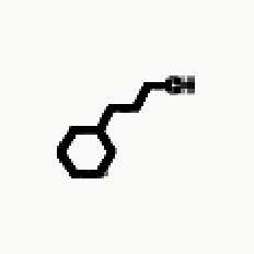 OCCCC1C[CH]CCC1